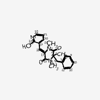 CN1C(=O)C(C)(Cc2ccccc2)N(C)C(=O)C1=Cc1cccnc1O